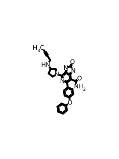 CC#CCNC1CCN(c2nc(-c3ccc(Oc4ccccc4)cc3)c(C(N)=O)c3c2=NC(=O)N=3)C1